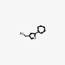 CC(=O)Cc1coc(-c2ccccc2)c1